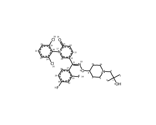 CC(C)(O)CN1CCC(ON=C(c2ccc(=O)n(-c3c(Cl)cccc3Cl)c2)c2ccc(F)cc2F)CC1